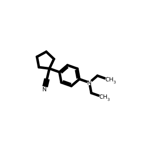 CCN(CC)c1ccc(C2(C#N)CCCC2)cc1